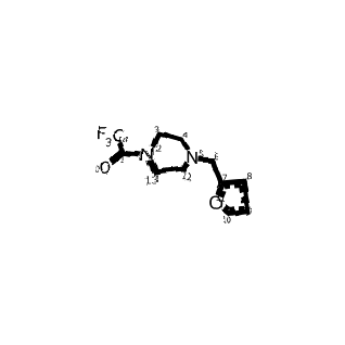 O=C(N1CCN(Cc2ccco2)CC1)C(F)(F)F